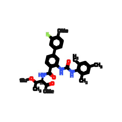 COC(=O)[C@@H](NC(=O)c1ccc(-c2ccc(OC)c(F)c2)cc1NC(=O)Nc1c(C)cc(C)cc1C)C(C)OC(C)(C)C